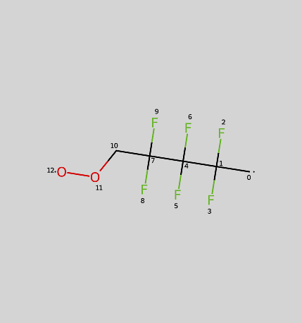 [CH2]C(F)(F)C(F)(F)C(F)(F)CO[O]